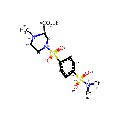 CCOC(=O)[C@H]1CN(S(=O)(=O)c2ccc(S(=O)(=O)N(CC)CC)cc2)CCN1C